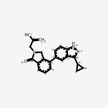 C=C(C#N)CN1Cc2c(cccc2-c2ccc3[nH]nc(C4CC4)c3c2)C1=O